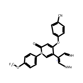 CN/C=C(\C=N)c1cn(-c2ccc(OC(F)(F)F)cc2)c(=O)cc1Oc1ccc(C#N)cc1